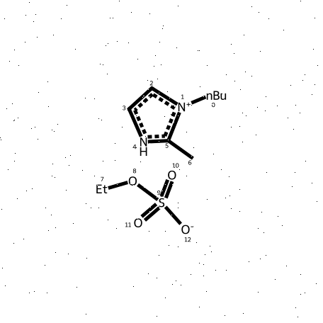 CCCC[n+]1cc[nH]c1C.CCOS(=O)(=O)[O-]